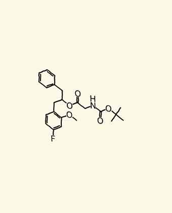 COc1cc(F)ccc1CC(Cc1ccccc1)OC(=O)CNC(=O)OC(C)(C)C